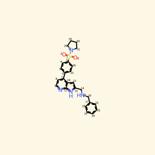 O=S(=O)(c1ccc(-c2ccnc3[nH]c(CNCc4ccccc4)cc23)cc1)N1CCCC1